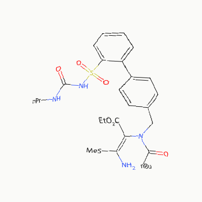 CCCCC(=O)N(Cc1ccc(-c2ccccc2S(=O)(=O)NC(=O)NCCC)cc1)C(C(=O)OCC)=C(N)SC